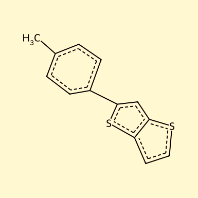 Cc1ccc(-c2cc3sccc3s2)cc1